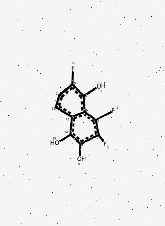 Oc1c(F)c(F)c2c(O)c(F)ccc2c1O